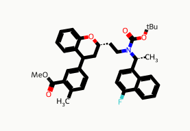 COC(=O)c1cc(C2C[C@@H](CCN(C(=O)OC(C)(C)C)[C@H](C)c3ccc(F)c4ccccc34)Oc3ccccc32)ccc1C